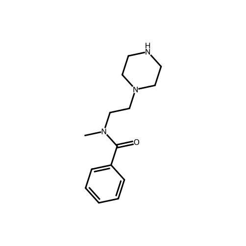 CN(CCN1CCNCC1)C(=O)c1ccccc1